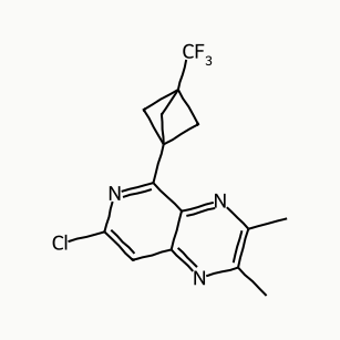 Cc1nc2cc(Cl)nc(C34CC(C(F)(F)F)(C3)C4)c2nc1C